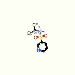 CC[C@H](NS(=O)(=O)c1cccnc1)C(F)(F)F